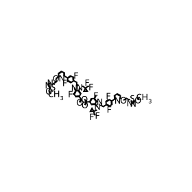 COc1nnc(COc2cccc(-c3cc(F)c(Cc4nc5c(F)cc(C(=O)OC(=O)c6cc(F)c7nc(Cc8cc(F)c(-c9cccc(OCc%10nnc(OC)s%10)n9)cc8F)n(CC8(C(F)F)CC8)c7c6)cc5n4CC4(C(F)F)CC4)cc3F)n2)s1